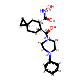 O=C(NO)[C@H]1CC2(CC[C@@H]1C(=O)N1CCN(c3ccccc3)CC1)CC2